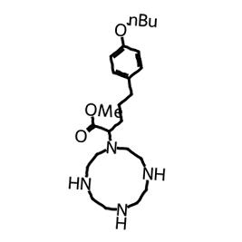 CCCCOc1ccc(CCCC(C(=O)OC)N2CCNCCNCCNCC2)cc1